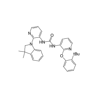 CC(C)(C)c1ccccc1Oc1ncccc1NC(=O)Nc1cccnc1N1CC(C)(C)c2ccccc21